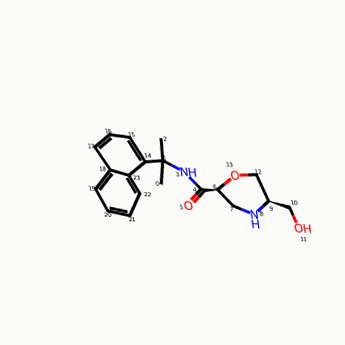 CC(C)(NC(=O)[C@@H]1CN[C@H](CO)CO1)c1cccc2ccccc12